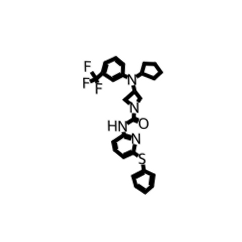 O=C(Nc1cccc(Sc2ccccc2)n1)N1CC(N(c2cccc(C(F)(F)F)c2)C2CCCC2)C1